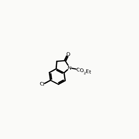 CCOC(=O)N1C(=O)Cc2cc(Cl)ccc21